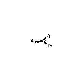 CCC[O+](CCC)CCC